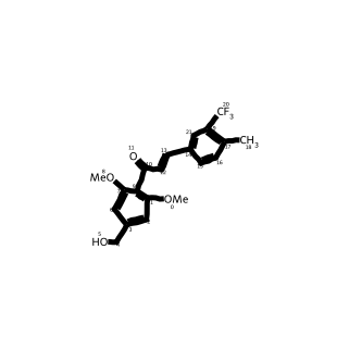 COc1cc(CO)cc(OC)c1C(=O)/C=C/c1ccc(C)c(C(F)(F)F)c1